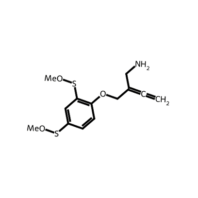 C=C=C(CN)COc1ccc(SOC)cc1SOC